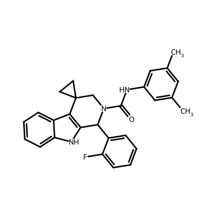 Cc1cc(C)cc(NC(=O)N2CC3(CC3)c3c([nH]c4ccccc34)C2c2ccccc2F)c1